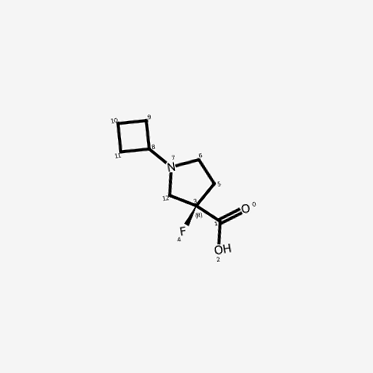 O=C(O)[C@@]1(F)CCN(C2CCC2)C1